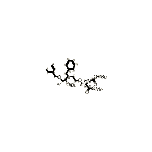 C=C/C(=C\C)CO[C@@H](C)[C@H](OCC(C)C)[C@H](CCOC[C@H](NC(=O)OC(C)(C)C)C(=O)OC)Cc1ccccc1